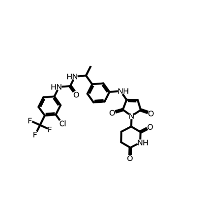 CC(NC(=O)Nc1ccc(C(F)(F)F)c(Cl)c1)c1cccc(NC2=CC(=O)N(C3CCC(=O)NC3=O)C2=O)c1